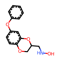 ONCC1COc2ccc(Oc3ccccc3)cc2O1